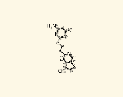 Nc1cc(Cl)nc(SCCc2cc3c(Cl)csc3cn2)n1